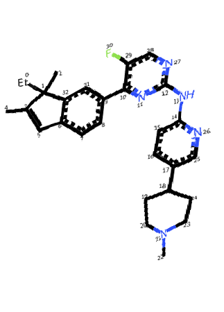 CCC1(C)C(C)=Cc2ccc(-c3nc(Nc4ccc(C5CCN(C)CC5)cn4)ncc3F)cc21